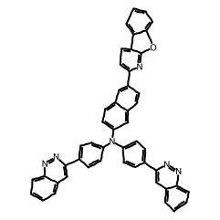 c1ccc2nnc(-c3ccc(N(c4ccc(-c5cc6ccccc6nn5)cc4)c4ccc5cc(-c6ccc7c(n6)oc6ccccc67)ccc5c4)cc3)cc2c1